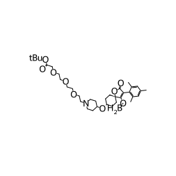 BOC1=C(c2c(C)cc(C)cc2C)C(=O)O[C@]12CC[C@@H](OC1CCN(CCOCCOCCOCC(=O)OC(C)(C)C)CC1)CC2